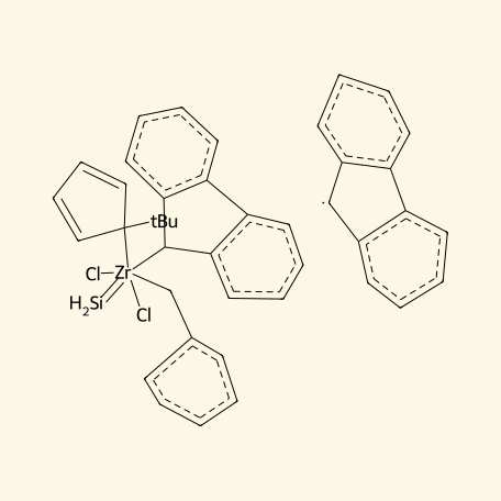 CC(C)(C)[C]1([Zr](=[SiH2])([Cl])([Cl])([CH2]c2ccccc2)[CH]2c3ccccc3-c3ccccc32)C=CC=C1.[CH]1c2ccccc2-c2ccccc21